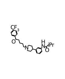 CC(C)C(=O)Nc1cccc(C2CCN(CCCCC(=O)c3ccc(C(F)(F)F)cc3)CC2)c1